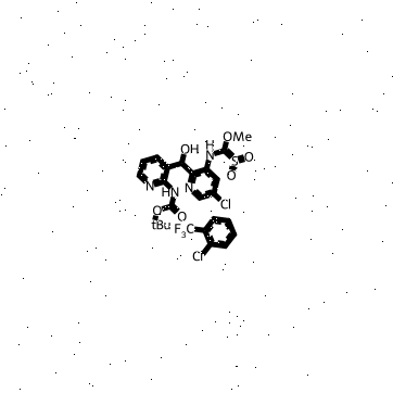 COC(Nc1cc(Cl)cnc1C(O)c1cccnc1NC(=O)OC(C)(C)C)=S(=O)=O.FC(F)(F)c1ccccc1Cl